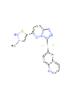 CC1C=C(c2ccc3nnc(C(F)(F)c4ccc5ncccc5c4)n3n2)SN1